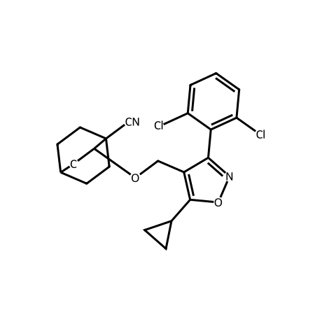 N#CC12CCC(CC1)CC2OCc1c(-c2c(Cl)cccc2Cl)noc1C1CC1